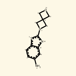 Nc1ccc2sc(N3CC4(COC4)C3)nc2c1